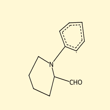 O=CC1CCCCN1c1[c]cccc1